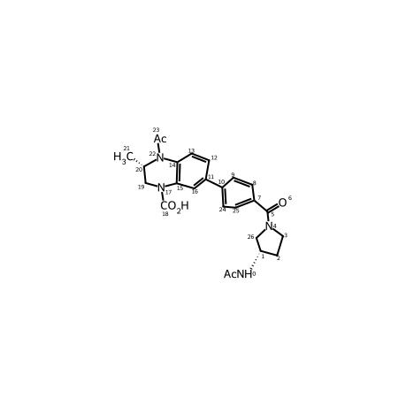 CC(=O)N[C@H]1CCN(C(=O)c2ccc(-c3ccc4c(c3)N(C(=O)O)C[C@H](C)N4C(C)=O)cc2)C1